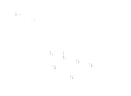 O=C(O)Cc1ccc(-c2ccnc(Nc3cncc(N4CCCCC4)n3)n2)cc1